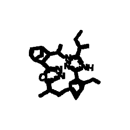 CCC(C)c1nnc(C2C3CC(C=C3CC(C)c3nnc(C4C5C=CC(C5)C4C(C)C)o3)C2CC)[nH]1